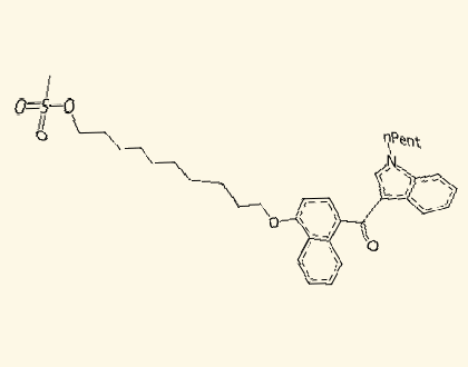 CCCCCn1cc(C(=O)c2ccc(OCCCCCCCCCCOS(C)(=O)=O)c3ccccc23)c2ccccc21